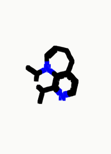 CC(C)c1nccc2c1N(C(C)C)C=CCC2